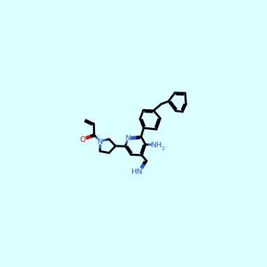 C=CC(=O)N1CCC(c2cc(C=N)c(N)c(-c3ccc(Cc4ccccc4)cc3)n2)C1